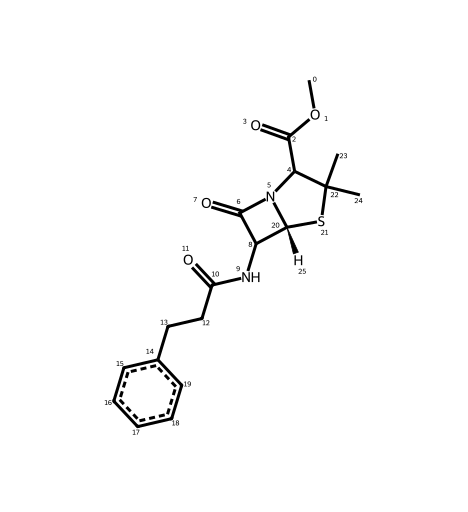 COC(=O)C1N2C(=O)C(NC(=O)CCc3ccccc3)[C@H]2SC1(C)C